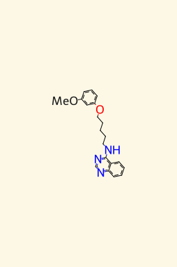 COc1cccc(OCCCCCNc2ncnc3ccccc23)c1